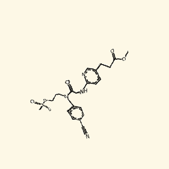 COC(=O)CCc1ccc(NC(=O)N(CCOS(C)(=O)=O)c2ccc(C#N)cc2)nc1